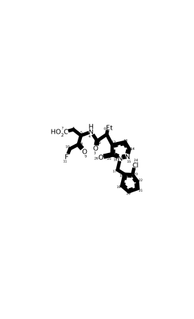 CCC(C(=O)NC(CC(=O)O)C(=O)CF)c1ccnn(Cc2ccccc2Cl)c1=O